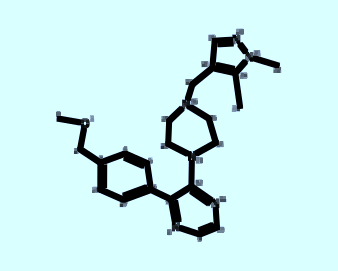 COCc1ccc(-c2nccnc2N2CCN(Cc3cnn(C)c3C)CC2)cc1